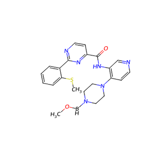 COBN1CCN(c2ccncc2NC(=O)c2ccnc(-c3ccccc3SC)n2)CC1